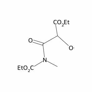 CCOC(=O)C([O])C(=O)N(C)C(=O)OCC